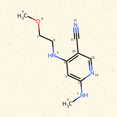 CNc1cc(NCCOC)c(C#N)cn1